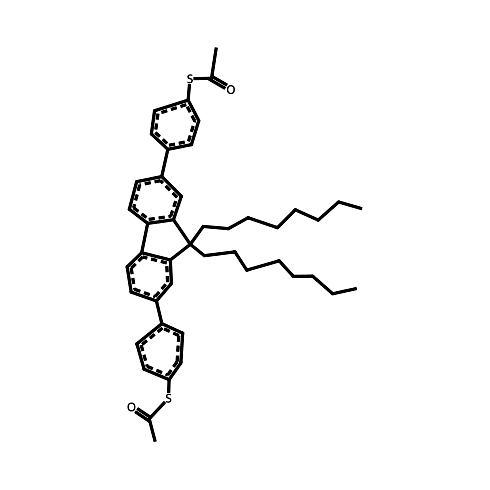 CCCCCCCCC1(CCCCCCCC)c2cc(-c3ccc(SC(C)=O)cc3)ccc2-c2ccc(-c3ccc(SC(C)=O)cc3)cc21